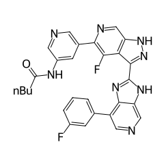 CCCCC(=O)Nc1cncc(-c2ncc3[nH]nc(-c4nc5c(-c6cccc(F)c6)cncc5[nH]4)c3c2F)c1